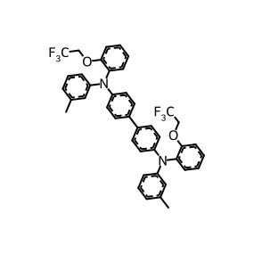 Cc1cccc(N(c2ccc(-c3ccc(N(c4cccc(C)c4)c4ccccc4OCC(F)(F)F)cc3)cc2)c2ccccc2OCC(F)(F)F)c1